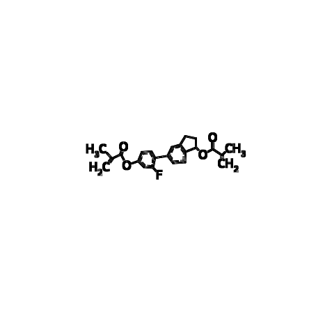 C=C(C)C(=O)Oc1ccc(-c2ccc3c(c2)CCC3OC(=O)C(=C)C)c(F)c1